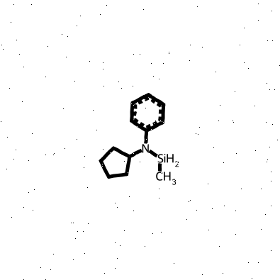 C[SiH2]N(c1ccccc1)C1CCCC1